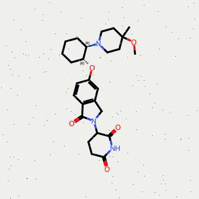 COC1(C)CCN([C@@H]2CCCC[C@H]2Oc2ccc3c(c2)CN(C2CCC(=O)NC2=O)C3=O)CC1